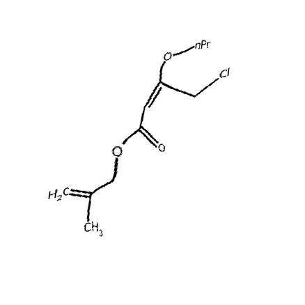 C=C(C)COC(=O)/C=C(\CCl)OCCC